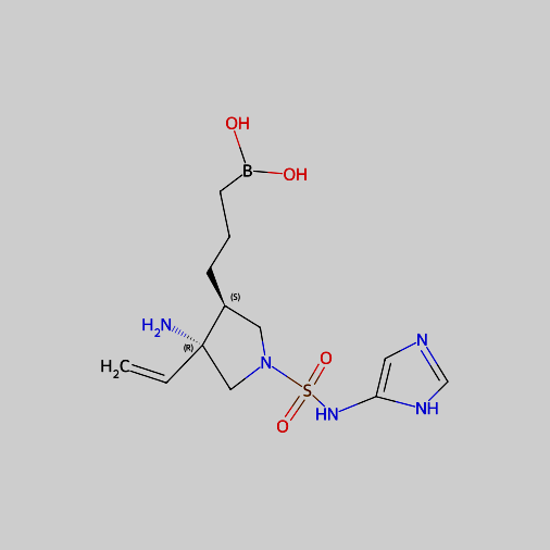 C=C[C@]1(N)CN(S(=O)(=O)Nc2cnc[nH]2)C[C@@H]1CCCB(O)O